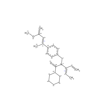 C=C/C(=C\C)N(Cc1ccc(/C(C)=C/C(=C)OC)cc1)C(=O)C1CCCCC1